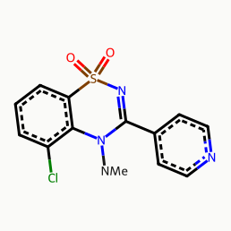 CNN1C(c2ccncc2)=NS(=O)(=O)c2cccc(Cl)c21